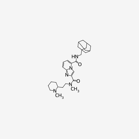 CN(CCC1CCCCN1C)C(=O)c1cn2c(C(=O)NCC34CC5CC(CC(C5)C3)C4)cccc2n1